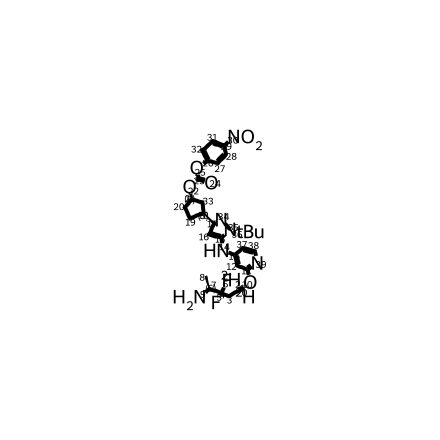 [2H]C([2H])(CC(F)(F)[C@H](C)N)Oc1cc(Nc2cc([C@H]3CC[C@@H](OC(=O)Oc4ccc([N+](=O)[O-])cc4)C3)nn2C(C)(C)C)ccn1